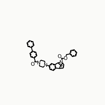 C[C@H]1C2CCN(C(=O)OCc3ccccc3)C1c1cc(N3CCN(C(=O)c4ccc(-c5ccccc5)cc4)CC3)ccc12